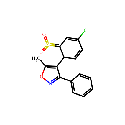 Cc1onc(-c2ccccc2)c1C1C=CC(Cl)=CC1=S(=O)=O